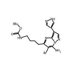 CC(C)(C)OC(=O)NCCCCc1nc2c(-c3cn[nH]c3)cnn2c(N)c1Br